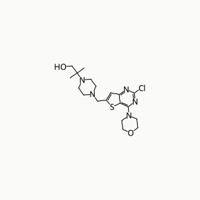 CC(C)(CO)N1CCN(Cc2cc3nc(Cl)nc(N4CCOCC4)c3s2)CC1